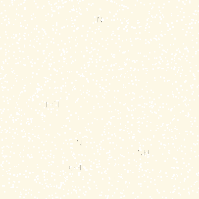 Cl.O=C1Nc2ccc(-c3ccncc3)cc2/C1=N/O